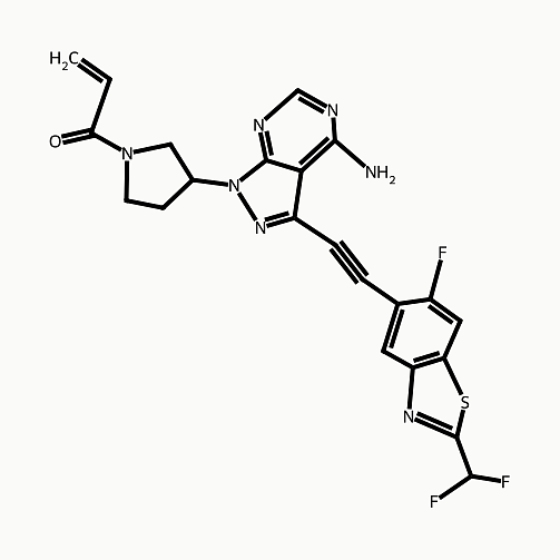 C=CC(=O)N1CCC(n2nc(C#Cc3cc4nc(C(F)F)sc4cc3F)c3c(N)ncnc32)C1